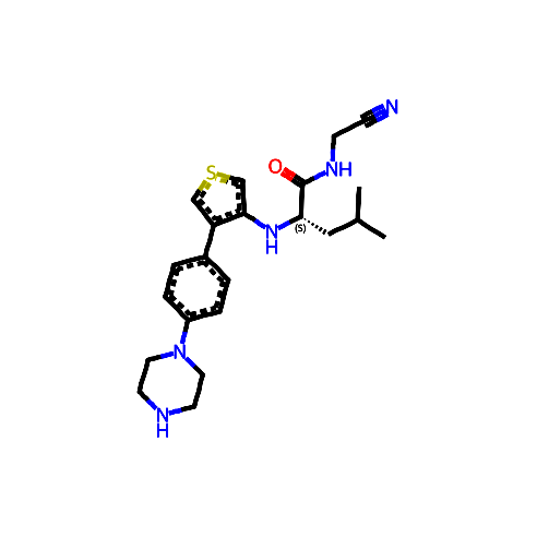 CC(C)C[C@H](Nc1cscc1-c1ccc(N2CCNCC2)cc1)C(=O)NCC#N